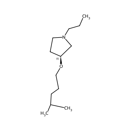 CCCN1CC[C@H](OCCCC(C)C)C1